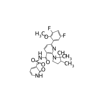 COc1c(F)cc(F)cc1-c1ccc(C(=O)NS(=O)(=O)c2ccc[nH]c2=O)c(N2CCC(C)C2(C)C)n1